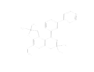 COc1cc2c(c3c1OC(C)(C)C3)C(c1cccc(-c3ccncc3)c1)=NC(C)(C)C2